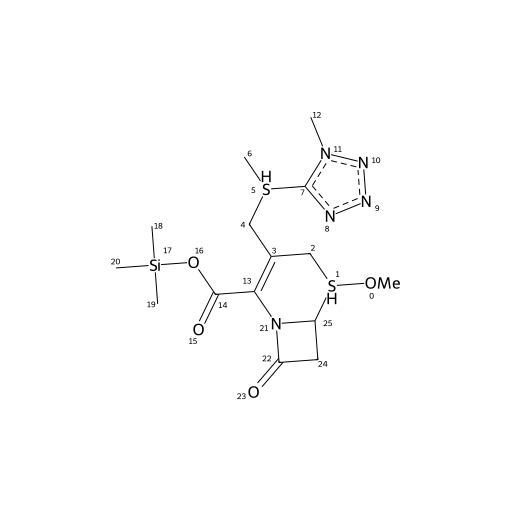 CO[SH]1CC(C[SH](C)c2nnnn2C)=C(C(=O)O[Si](C)(C)C)N2C(=O)CC21